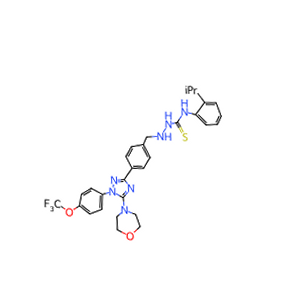 CC(C)c1ccccc1NC(=S)NNCc1ccc(-c2nc(N3CCOCC3)n(-c3ccc(OC(F)(F)F)cc3)n2)cc1